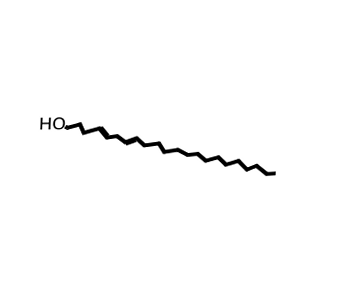 CCCCCCCCCCCCCCC=CCC=CCCCO